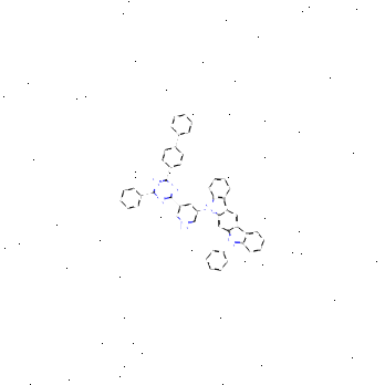 c1ccc(-c2ccc(-c3nc(-c4ccccc4)nc(-c4cncc(-n5c6ccccc6c6cc7c8ccccc8n(-c8ccccc8)c7cc65)c4)n3)cc2)cc1